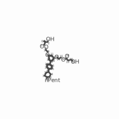 C=C(CO)C(=O)OCCOc1cc(OCCOC(=O)CCO)cc(-c2ccc(C3CCC(CCCCC)CC3)cc2)c1